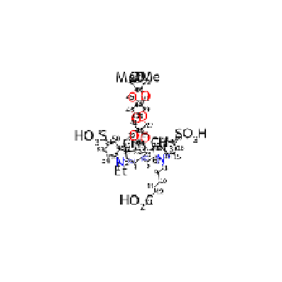 CCN1/C(=C/C=C/C2=[N+](CCCCCC(=O)O)c3ccc(S(=O)(=O)O)cc3C2(C)CCOCCOCCOCCOC)C(C)(CCOCCOCCOCCOC)c2cc(S(=O)(=O)O)ccc21